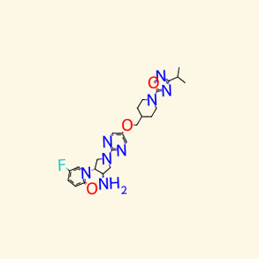 CC(C)c1noc(N2CCC(COc3cnc(N4C[C@@H](N)[C@H](n5cc(F)ccc5=O)C4)nc3)CC2)n1